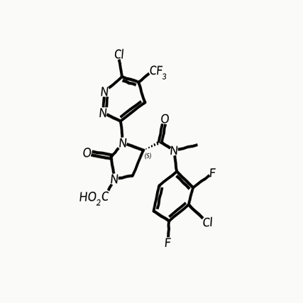 CN(C(=O)[C@@H]1CN(C(=O)O)C(=O)N1c1cc(C(F)(F)F)c(Cl)nn1)c1ccc(F)c(Cl)c1F